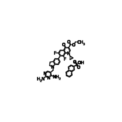 CCOC(=O)c1cn(C2CC2)c2c(F)c(-c3ccc4c(c3)CCN4Cc3cnc(N)nc3N)c(F)cc2c1=O.O=S(=O)(O)c1ccc2ccccc2c1